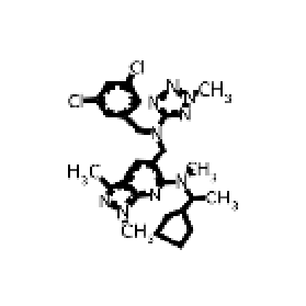 Cc1nn(C)c2nc(N(C)C(C)C3CCCC3)c(CN(Cc3cc(Cl)cc(Cl)c3)c3nnn(C)n3)cc12